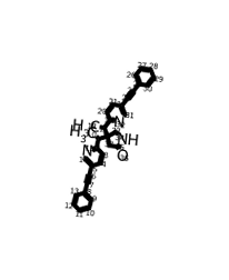 CC(c1ccc(C#Cc2ccccc2)cn1)C1(C(C)c2ccc(C#Cc3ccccc3)cn2)CNC(=O)C1